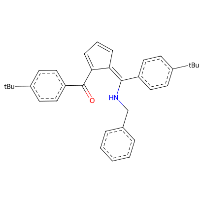 CC(C)(C)c1ccc(C(=O)C2=CC=CC2=C(NCc2ccccc2)c2ccc(C(C)(C)C)cc2)cc1